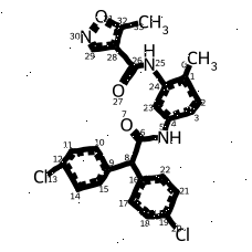 Cc1ccc(NC(=O)C(c2ccc(Cl)cc2)c2ccc(Cl)cc2)cc1NC(=O)c1cnoc1C